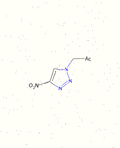 CC(=O)Cn1cc([N+](=O)[O-])nn1